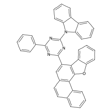 c1ccc(-c2nc(-c3cc4ccc5ccccc5c4c4oc5ccccc5c34)nc(-n3c4ccccc4c4ccccc43)n2)cc1